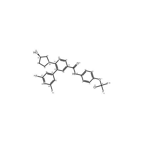 O=C(Nc1ccc(OC(F)(F)Cl)cc1)c1cnc(N2CC[C@@H](O)C2)c(-c2cc(F)nc(F)c2)c1